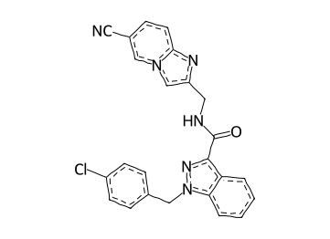 N#Cc1ccc2nc(CNC(=O)c3nn(Cc4ccc(Cl)cc4)c4ccccc34)cn2c1